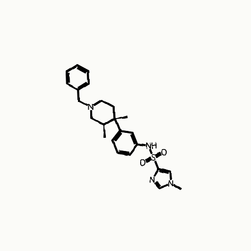 C[C@H]1CN(Cc2ccccc2)CC[C@]1(C)c1cccc(NS(=O)(=O)c2cn(C)cn2)c1